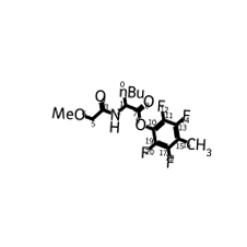 CCCCC(NC(=O)COC)C(=O)Oc1c(F)c(F)c(C)c(F)c1F